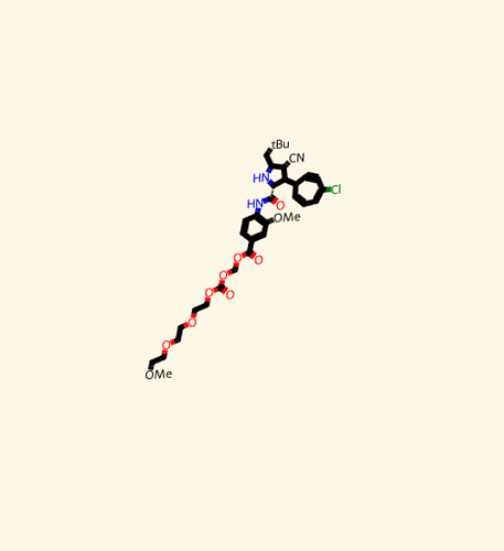 COCCOCCOCCOC(=O)OCOC(=O)c1ccc(NC(=O)[C@@H]2NC(CC(C)(C)C)C(C#N)C2C2C#CC(Cl)=CC=C2)c(OC)c1